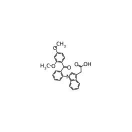 COc1ccc(C(=O)c2ccccc2-n2cc(CC(=O)O)c3ccccc32)c(OC)c1